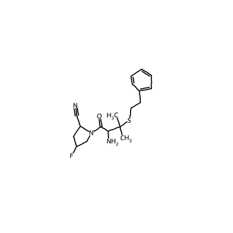 CC(C)(SCCc1ccccc1)C(N)C(=O)N1CC(F)CC1C#N